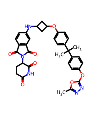 Cc1nnc(Oc2ccc(C(C)(C)c3ccc(OC4CC(Nc5ccc6c(c5)C(=O)N(C5CCC(=O)NC5=O)C6=O)C4)cc3)cc2)o1